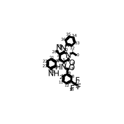 CCN1C(=O)[C@@H](NC(=O)c2cccc(C(F)(F)F)c2)[C@H](c2cccc(N)c2)c2cnn(-c3ccccc3)c21